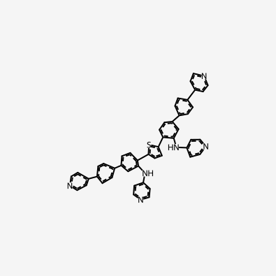 c1cc(Nc2cc(-c3ccc(-c4ccncc4)cc3)ccc2-c2ccc(-c3ccc(-c4ccc(-c5ccncc5)cc4)cc3Nc3ccncc3)s2)ccn1